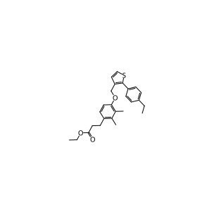 CCOC(=O)CCc1ccc(OCc2ccsc2-c2ccc(CC)cc2)c(C)c1C